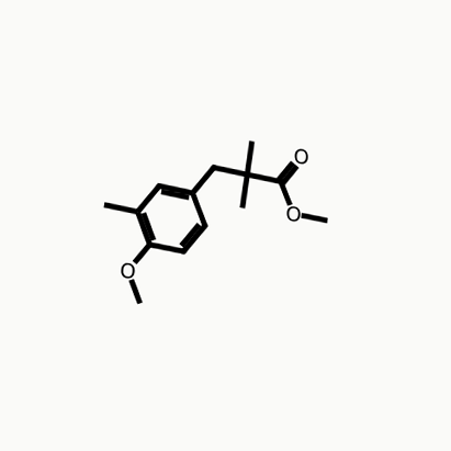 COC(=O)C(C)(C)Cc1ccc(OC)c(C)c1